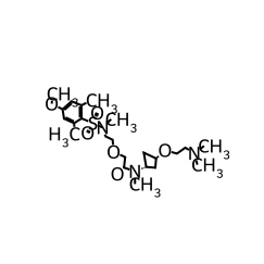 COc1cc(C)c(S(=O)(=O)N(C)CCOCC(=O)N(C)[C@H]2C[C@H](OCCN(C)C)C2)c(C)c1